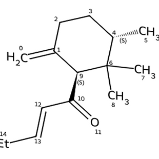 C=C1CC[C@H](C)C(C)(C)[C@H]1C(=O)C=CCC